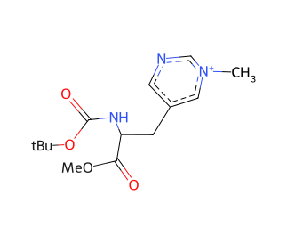 COC(=O)C(Cc1cnc[n+](C)c1)NC(=O)OC(C)(C)C